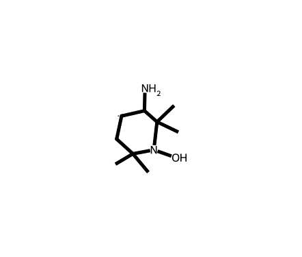 CC1(C)C[CH]C(N)C(C)(C)N1O